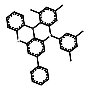 Cc1cc(C)cc(N2c3cc(C)cc(C)c3B3c4ccccc4Oc4cc(-c5ccccc5)cc2c43)c1